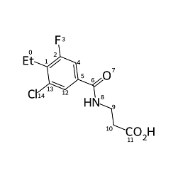 CCc1c(F)cc(C(=O)NCCC(=O)O)cc1Cl